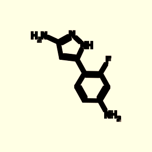 Nc1ccc(-c2cc(N)n[nH]2)c(F)c1